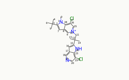 Cn1c(C(C)(C)C)cc2c[n+](CC(C)(C)c3cc4cncc(Cl)c4[nH]3)cc(Cl)c21